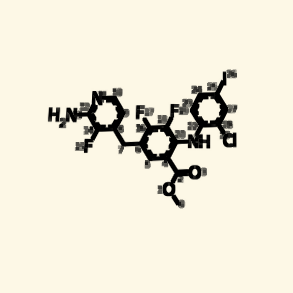 COC(=O)c1cc(Cc2ccnc(N)c2F)c(F)c(F)c1Nc1ccc(I)cc1Cl